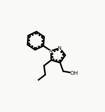 CCCc1c(CO)cnn1-c1ccccc1